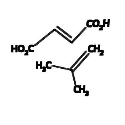 C=C(C)C.O=C(O)/C=C/C(=O)O